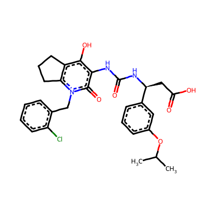 CC(C)Oc1cccc([C@H](CC(=O)O)NC(=O)Nc2c(O)c3c(n(Cc4ccccc4Cl)c2=O)CCC3)c1